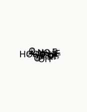 O=C(O)COC(=O)c1ncc(Oc2cccc(C(F)(F)F)c2)cc1O